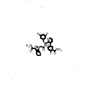 NC(=O)c1cc(-c2cccnc2[C@H](Cc2cc(F)cc(F)c2)NC(=O)Cn2nc(C(N)=O)c3c2C2CCC3C2)ccc1F